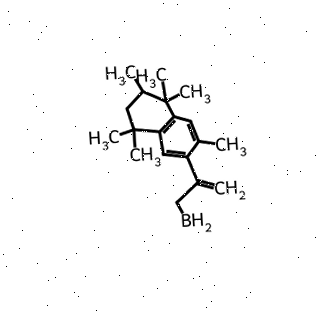 BCC(=C)c1cc2c(cc1C)C(C)(C)C(C)CC2(C)C